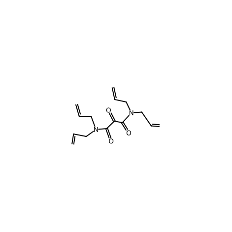 C=CCN(CC=C)C(=O)C(=O)C(=O)N(CC=C)CC=C